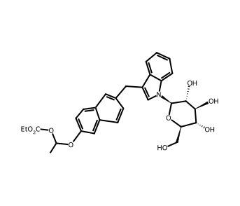 CCOC(=O)OC(C)Oc1ccc2cc(Cc3cn([C@@H]4O[C@H](CO)[C@@H](O)[C@H](O)[C@H]4O)c4ccccc34)ccc2c1